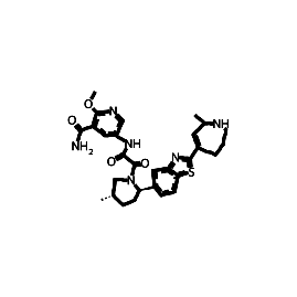 COc1ncc(NC(=O)C(=O)N2C[C@@H](C)CC[C@@H]2c2ccc3sc(C4=CC(C)NCCC4)nc3c2)cc1C(N)=O